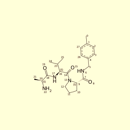 Cc1ccc(CNC(=O)[C@@H]2CCCN2C(=O)[C@@H](NC(=O)[C@H](C)N)C(C)C)cc1